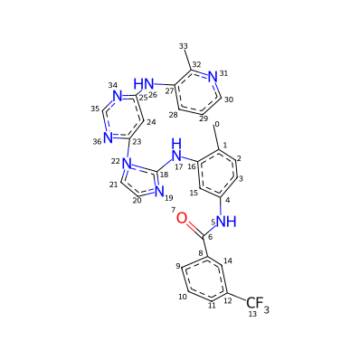 Cc1ccc(NC(=O)c2cccc(C(F)(F)F)c2)cc1Nc1nccn1-c1cc(Nc2cccnc2C)ncn1